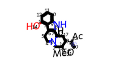 CC[C@@H]1CN2CCc3c([nH]c4cccc(O)c34)[C@@H]2C[C@@H]1/C(=C\OC)C(C)=O